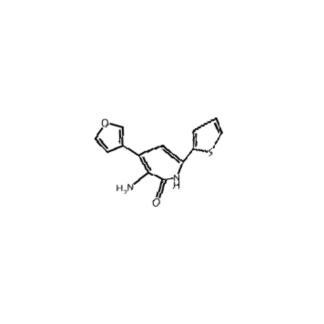 Nc1c(-c2ccoc2)cc(-c2cccs2)[nH]c1=O